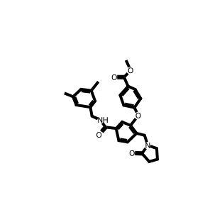 COC(=O)c1ccc(Oc2cc(C(=O)NCc3cc(C)cc(C)c3)ccc2CN2CCCC2=O)cc1